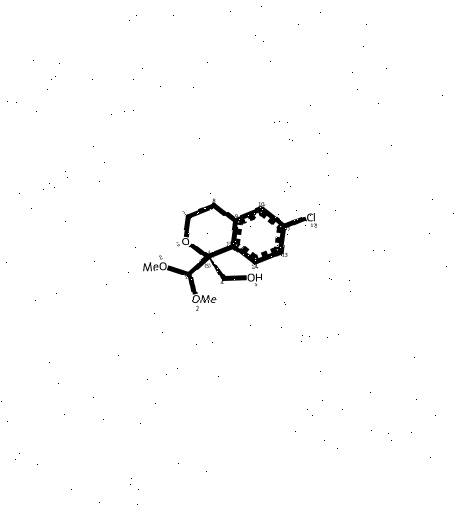 COC(OC)[C@]1(CO)OCCc2cc(Cl)ccc21